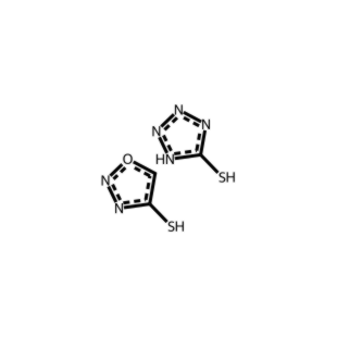 Sc1conn1.Sc1nnn[nH]1